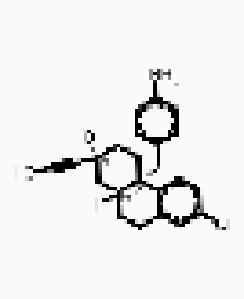 CC#C[C@@]1(O)CC[C@@]2(Cc3ccc(N)cc3)c3ccc(O)cc3CC[C@@H]2C1